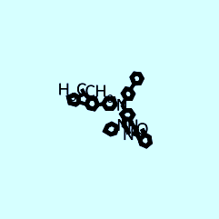 CC1(C)c2ccccc2-c2ccc(-c3ccc(N(c4ccc(-c5ccccc5)cc4)c4ccc5c(c4)n(-c4ccccc4)c4nc6c7ccccc7oc6n54)cc3)cc21